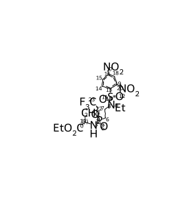 CCOC(=O)[C@@H](C)NP(=O)(CCN(CC)S(=O)(=O)c1ccc([N+](=O)[O-])cc1[N+](=O)[O-])OCC(F)(F)F